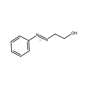 OCC/N=N/c1ccccc1